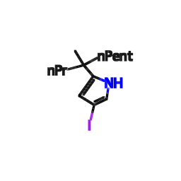 CCCCCC(C)(CCC)c1cc(I)c[nH]1